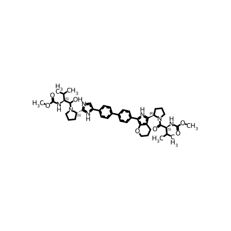 COC(=O)N[C@@H](C(C)C)C(O)N1CCC[C@H]1c1ncc(-c2ccc(-c3ccc(-c4[nH]c([C@H]5CCCN5C(=O)[C@@H](NC(=O)OC)C(C)C)c5c4OCCC5)cc3)cc2)[nH]1